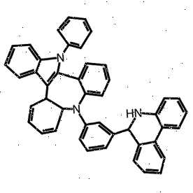 C1=CC2c3c(n(-c4ccccc4)c4ccccc34)-c3ccccc3N(c3cccc(C4Nc5ccccc5-c5ccccc54)c3)C2C=C1